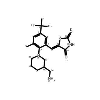 Cc1cc(C(C)(F)F)cc(/C=C2\SC(=O)NC2=O)c1N1CCCC(CN)C1